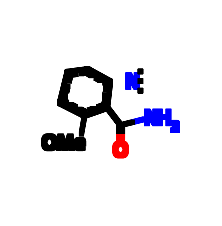 COc1ccccc1C(N)=O.[N]